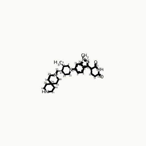 C[C@H]1CN(c2ccc3c(C4CCC(=O)NC4=O)nn(C)c3c2)CC[C@H]1CN1CCC2(CCNCC2)CC1